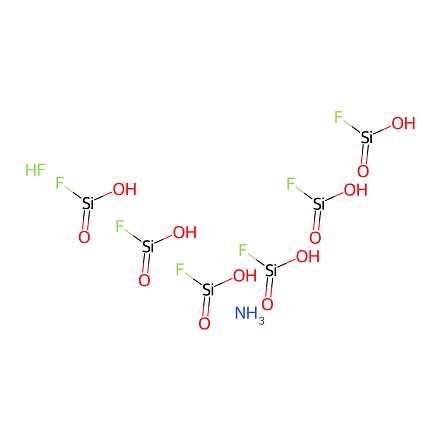 F.N.O=[Si](O)F.O=[Si](O)F.O=[Si](O)F.O=[Si](O)F.O=[Si](O)F.O=[Si](O)F